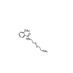 CC(=O)OCCSSCCNC(=O)c1ccccc1OC(C)=O